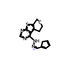 C1=CCC(/C=N\Nc2ncnc3sc4c(c23)CCCC4)=C1